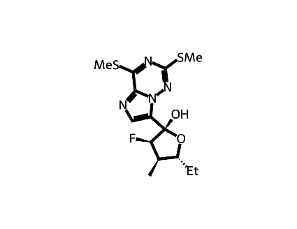 CC[C@H]1O[C@@](O)(c2cnc3c(SC)nc(SC)nn23)[C@H](F)[C@@H]1C